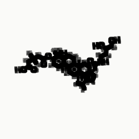 C=C(C)[C@@H]1CC[C@]2(CC(=O)NCCC(O)CO)CC[C@]3(C)[C@H](CC[C@@H]4[C@@]5(C)CC[C@H](OC(=O)CC(C)(C)CC(=O)O)C(C)(C)[C@@H]5CC[C@]43C)[C@@H]12